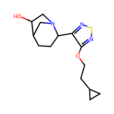 OC1CN2CC1CCC2c1nsnc1OCCC1CC1